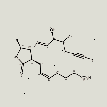 CC#CCC(C)[C@H](O)/C=C/[C@H]1[C@H](C)CC(=O)[C@@H]1C/C=C\CCCC(=O)O